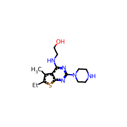 CCc1sc2nc(N3CCNCC3)nc(NCCO)c2c1C